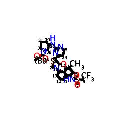 Cc1cc(NS(=O)(=O)CC(F)(F)F)c2ccccc2c1Oc1ncsc1-c1ccnc(N[C@H]2CCCN(C(=O)OC(C)(C)C)C2)n1